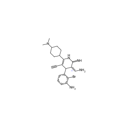 C#CC1=C(C2CCC(N(C)C)CC2)NC(=N)/C(=C\N)C1c1cccc(N)c1Br